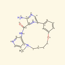 CN1CCCCOc2cccc(c2)-c2cnc(N)c(n2)C(=O)Nc2cnccc21